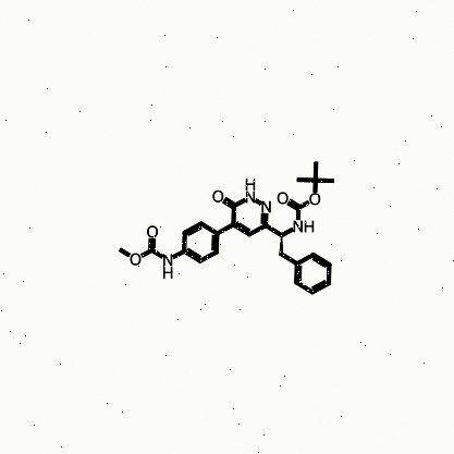 COC(=O)Nc1ccc(-c2cc([C@H](Cc3ccccc3)NC(=O)OC(C)(C)C)n[nH]c2=O)cc1